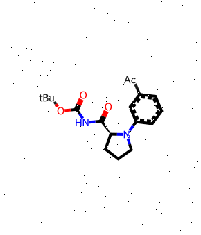 CC(=O)c1cccc(N2CCC[C@H]2C(=O)NC(=O)OC(C)(C)C)c1